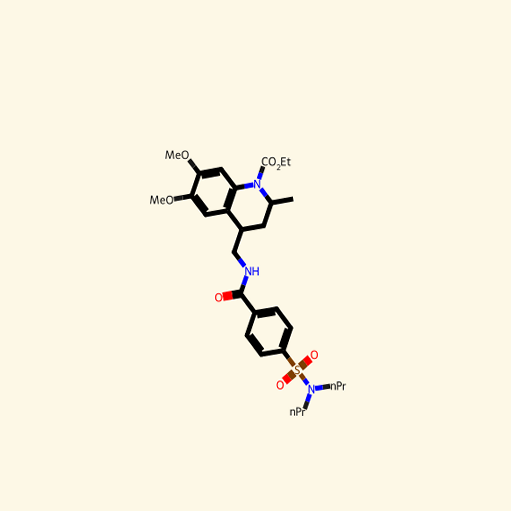 CCCN(CCC)S(=O)(=O)c1ccc(C(=O)NCC2CC(C)N(C(=O)OCC)c3cc(OC)c(OC)cc32)cc1